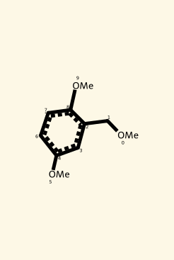 COCc1cc(OC)c[c]c1OC